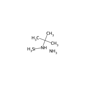 CC(C)(C)N[SiH3].N